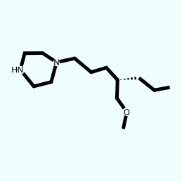 CCC[C@@H](CCCN1CCNCC1)COC